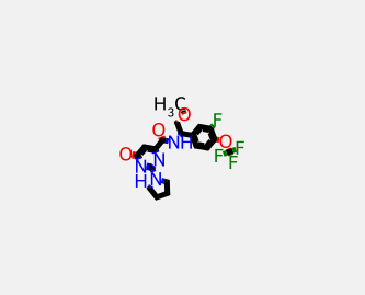 COCC(NC(=O)c1cc(=O)[nH]c(N2CCCC2)n1)c1ccc(OC(F)(F)F)c(F)c1